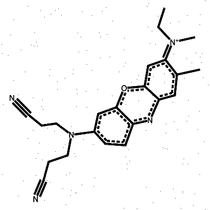 CC/[N+](C)=c1\cc2oc3cc(N(CCC#N)CCC#N)ccc3nc-2cc1C